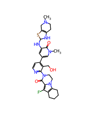 CN1CCC2=C(C1)SC(Nc1cc(-c3ccnc(N4CCn5c6c(c(F)c5C4=O)CCCC6)c3CO)cn(C)c1=O)N2